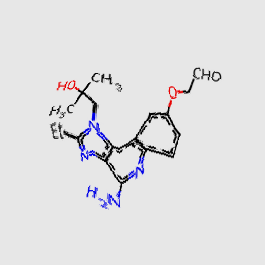 CCc1nc2c(N)nc3ccc(OCC=O)cc3c2n1CC(C)(C)O